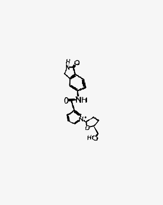 O=C(Nc1ccc2c(c1)CNC2=O)c1ccc[n+]([C@H]2CC[C@@H](CO)O2)c1